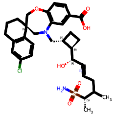 CC(C/C=C/[C@H](O)[C@@H]1CC[C@H]1CN1C[C@@]2(CCCc3cc(Cl)ccc32)COc2ccc(C(=O)O)cc21)[C@H](C)S(N)(=O)=O